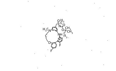 CN1CCCCOc2cc(F)ccc2-c2nc(ncc2F)Nc2cc(CS(C)(=O)=NC(=O)OC(C)(C)C)cc1c2